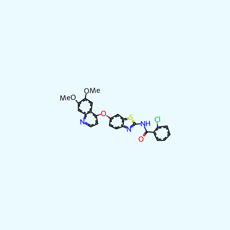 COc1cc2nccc(Oc3ccc4nc(NC(=O)c5ccccc5Cl)sc4c3)c2cc1OC